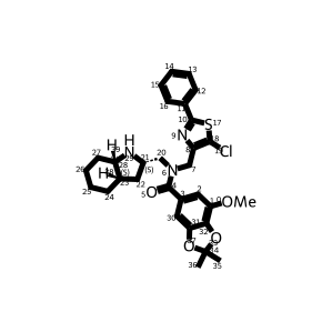 COc1cc(C(=O)N(Cc2nc(-c3ccccc3)sc2Cl)C[C@@H]2C[C@@H]3CCCC[C@@H]3N2)cc2c1OC(C)(C)O2